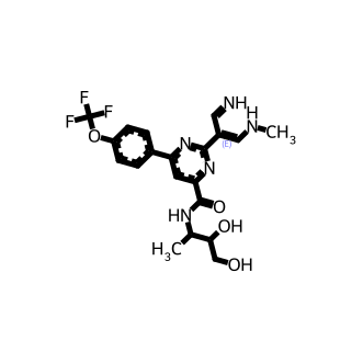 CN/C=C(\C=N)c1nc(C(=O)NC(C)C(O)CO)cc(-c2ccc(OC(F)(F)F)cc2)n1